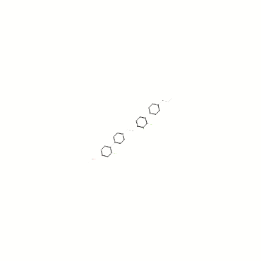 CCCc1ccc(-c2ccc(CCc3ccc(-c4ccc(OCC)cc4F)cc3)c(F)c2F)cc1